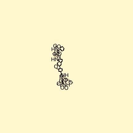 COC[C@H]1C[C@@H](c2ncc(-c3ccc4c(c3)COc3cc5c(ccc6nc([C@@H]7CCCN7C(=O)[C@H](NC(=O)OC)c7ccccc7)[nH]c65)cc3-4)[nH]2)N(C(=O)[C@@H](NC(=O)OC)C(C)OC)C1